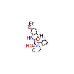 CCOc1ccc(C)c(NC(=O)C[N+]2(Cc3ccccc3)CCCCCC2O)c1